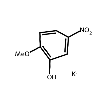 COc1ccc([N+](=O)[O-])cc1O.[K]